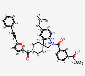 COC(=O)c1cccc(C(=O)N2CC3(CCN(C(=O)c4ccc(C#Cc5ccccc5)o4)CC3)c3cc(CN(C)C)ccc32)c1